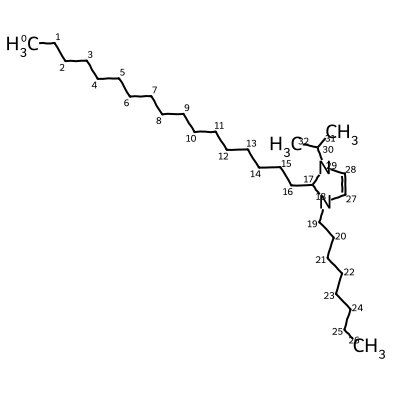 CCCCCCCCCCCCCCCCCC1N(CCCCCCCC)C=CN1C(C)C